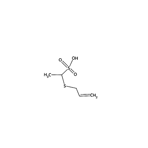 C=CCSC(C)S(=O)(=O)O